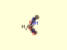 Cc1cc(C(=O)NC2CCN(Cc3ccccc3)CC2)ccc1OC1CCN(c2ccco2)CC1